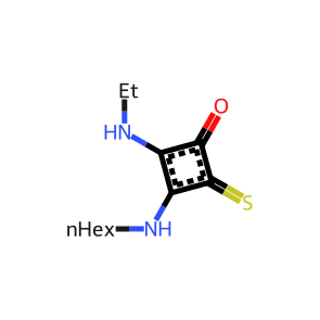 CCCCCCNc1c(NCC)c(=O)c1=S